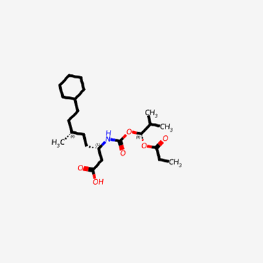 CCC(=O)O[C@H](OC(=O)N[C@@H](CC[C@H](C)CCC1CCCCC1)CC(=O)O)C(C)C